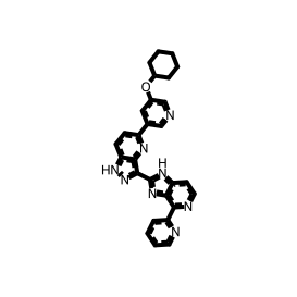 c1ccc(-c2nccc3[nH]c(-c4n[nH]c5ccc(-c6cncc(OC7CCCCC7)c6)nc45)nc23)nc1